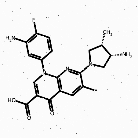 C[C@H]1CN(c2nc3c(cc2F)c(=O)c(C(=O)O)cn3-c2ccc(F)c(N)c2)C[C@H]1N